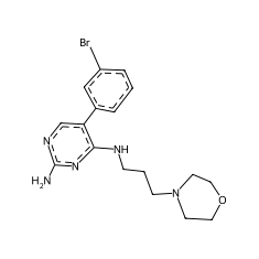 Nc1ncc(-c2cccc(Br)c2)c(NCCCN2CCOCC2)n1